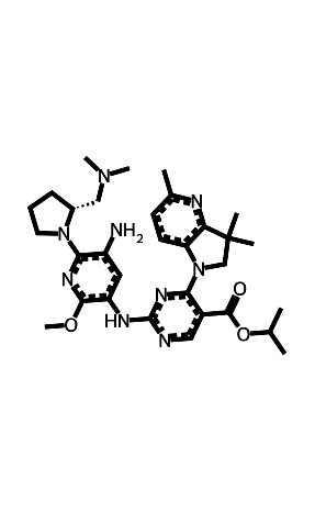 COc1nc(N2CCC[C@@H]2CN(C)C)c(N)cc1Nc1ncc(C(=O)OC(C)C)c(N2CC(C)(C)c3nc(C)ccc32)n1